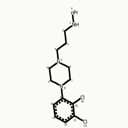 CCCNCCCN1CCN(c2cccc(Cl)c2Cl)CC1